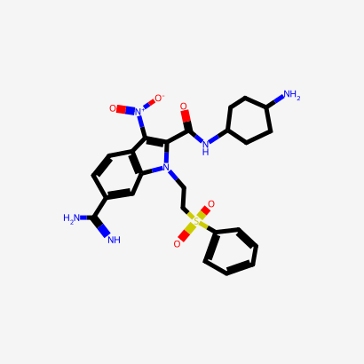 N=C(N)c1ccc2c([N+](=O)[O-])c(C(=O)NC3CCC(N)CC3)n(CCS(=O)(=O)c3ccccc3)c2c1